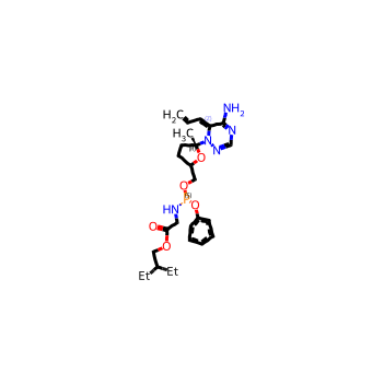 C=C/C=C1/C(N)=NC=NN1[C@@]1(C)CCC(CO[P@@](NCC(=O)OCC(CC)CC)Oc2ccccc2)O1